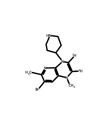 [2H]C1=C([2H])N(C2CCNCC2)c2nc(C)c(Br)cc2N1C